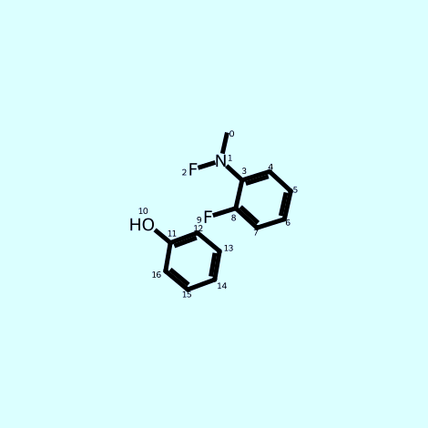 CN(F)c1ccccc1F.Oc1ccccc1